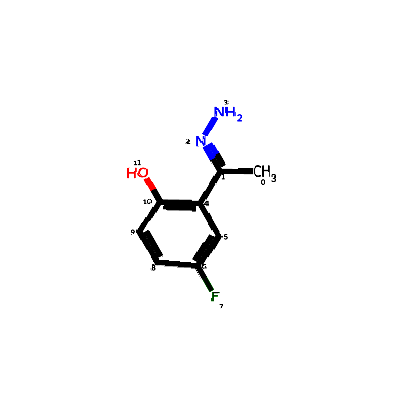 CC(=NN)c1cc(F)ccc1O